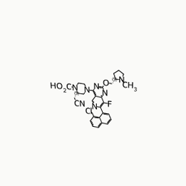 CN1CCC[C@H]1COc1nc(N2CCN(C(=O)O)[C@@H](CC#N)C2)c2cnc(-c3cccc4cccc(Cl)c34)c(F)c2n1